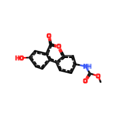 COC(=O)Nc1ccc2c(c1)oc(=O)c1cc(O)ccc12